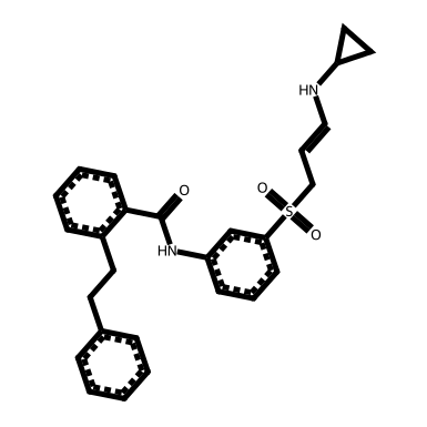 O=C(Nc1cccc(S(=O)(=O)CC=CNC2CC2)c1)c1ccccc1CCc1ccccc1